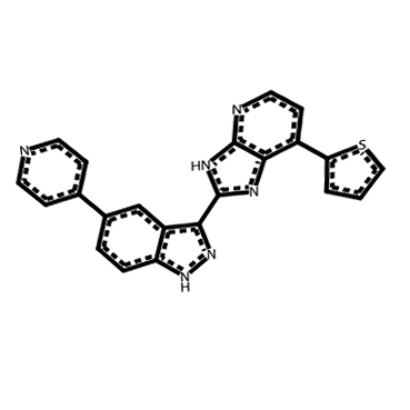 c1csc(-c2ccnc3[nH]c(-c4n[nH]c5ccc(-c6ccncc6)cc45)nc23)c1